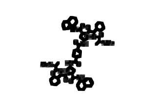 CN[C@@H](C)C(=O)NC(C(=O)N1C[C@@H](NC(=O)c2ccc(C(=O)N[C@H]3C[C@@H](C(=O)N[C@@H]4CCCc5ccccc54)N(C(=O)[C@@H](NC(=O)[C@H](C)NC)C4CCCCC4)C3)cc2)C[C@H]1C(=O)N[C@@H]1CCCc2ccccc21)C1CCCCC1